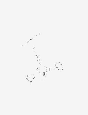 O=C(O)CCCC=CC1SC(c2ccccc2)N2C(=O)N(Cc3ccccc3)C[C@H]12